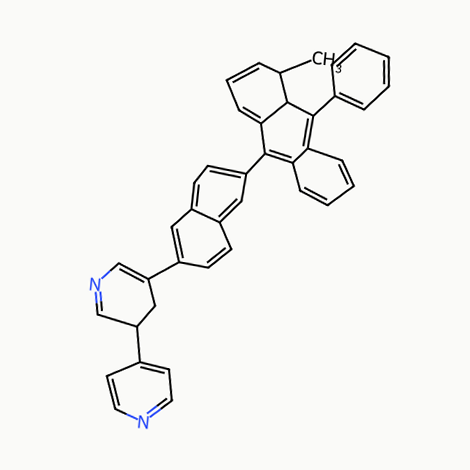 CC1C=CC=C2C(c3ccc4cc(C5=CN=CC(c6ccncc6)C5)ccc4c3)=c3ccccc3=C(c3ccccc3)C21